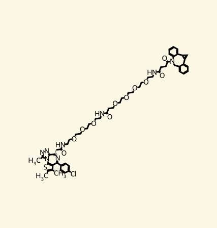 Cc1sc2c(c1C)C(c1ccc(Cl)cc1)=N[C@@H](CC(=O)NCCOCCOCCOCCNC(=O)CCOCCOCCOCCOCCNC(=O)CCC(=O)N1Cc3ccccc3C3=CC3c3ccccc31)c1nnc(C)n1-2